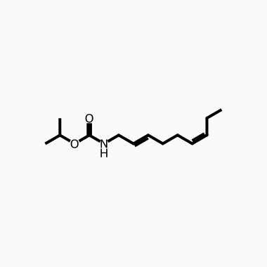 CC/C=C\CC/C=C/CNC(=O)OC(C)C